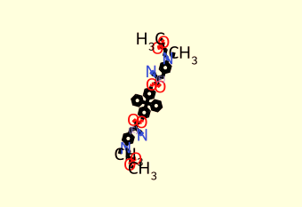 CCN(CCC(=O)OC)c1ccc(/C=C(\C#N)C(=O)Oc2ccc(C(c3ccccc3)(c3ccccc3)c3ccc(OC(=O)/C(C#N)=C/c4ccc(N(CC)CCC(=O)OC)cc4)cc3)cc2)cc1